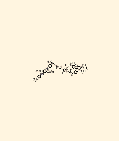 COc1cc(/N=N/c2ccc([N+](=O)[O-])cc2)c(OC)cc1/N=N/c1ccc(N(C)CCCC(=O)NCCSC2CC(=O)N(CCCNC(=O)c3ccc(C(=O)O)c(-c4c5ccc(=[N+](C)C)cc-5oc5cc(N(C)C)ccc45)c3)C2=O)cc1